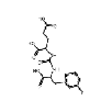 O=C(O)CCC(NC(=O)NC(Cc1cccc(F)c1)C(=O)O)C(=O)O